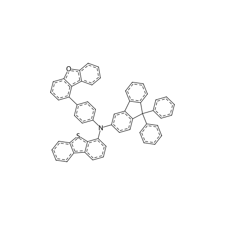 c1ccc(C2(c3ccccc3)c3ccccc3-c3cc(N(c4ccc(-c5cccc6oc7ccccc7c56)cc4)c4cccc5c4sc4ccccc45)ccc32)cc1